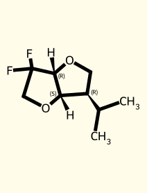 CC(C)[C@@H]1CO[C@@H]2[C@H]1OCC2(F)F